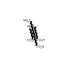 O=C(O)CCCCCCCC(=O)O.O=C(O)CCCCCCCC=CCCCCCCCC(=O)O.O=C(O)CCCCCCCCC(=O)O